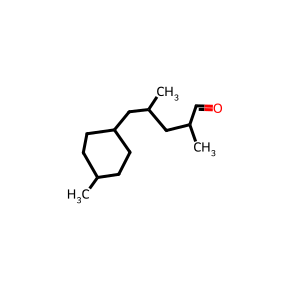 CC(C=O)CC(C)CC1CCC(C)CC1